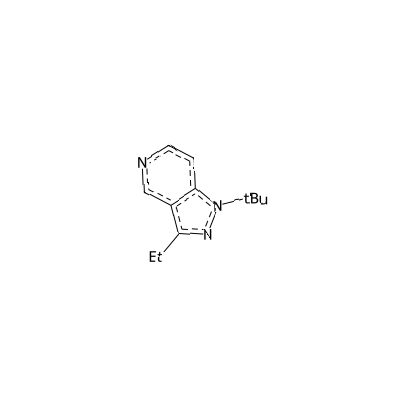 CCc1nn(C(C)(C)C)c2ccncc12